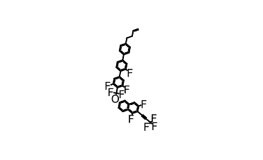 C=CCCc1ccc(-c2ccc(-c3cc(F)c(C(F)(F)Oc4ccc5c(F)c(C#CC(F)(F)F)c(F)cc5c4)c(F)c3)c(F)c2)cc1